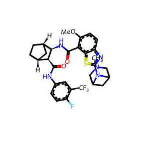 COc1ccc2nc(N3C4CC3CN(C)C4)sc2c1C(=O)N[C@@H]1[C@H]2CC[C@H](C2)[C@@H]1C(=O)Nc1ccc(F)c(C(F)(F)F)c1